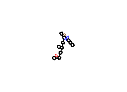 c1ccc2cc3cc4c(cc3cc2c1)nc1c2sc3ccccc3c2cc(-c2ccc(-c3ccc(-c5ccc(-c6cccc7c6oc6ccccc67)cc5)c5ccccc35)cc2)n41